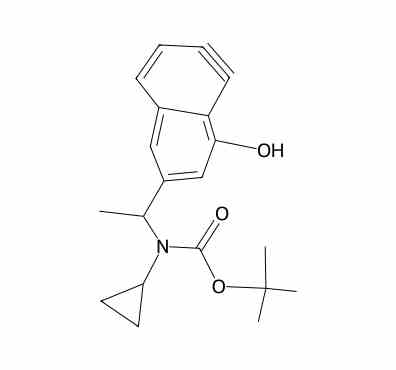 CC(c1cc(O)c2c#cccc2c1)N(C(=O)OC(C)(C)C)C1CC1